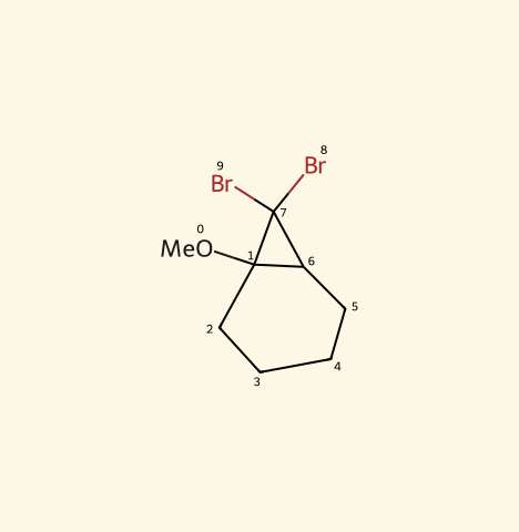 COC12CCCCC1C2(Br)Br